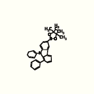 CC1(C)OB(c2ccc3c(c2)c2cccc(-c4ccccc4)c2n3C2=CCCC=C2)OC1(C)C